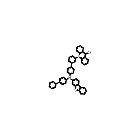 O=c1c2ccccc2n(-c2cccc(-c3ccc(N(c4ccc(-c5ccccc5)cc4)c4ccc5c(c4)sc4ccccc45)cc3)c2)c2ccccc12